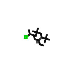 CC[C@@H](CCC(C)Cl)C(CC(C)(C)C)C(C)(C)C